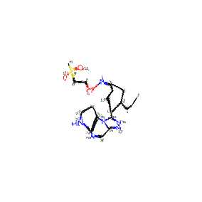 CC[C@@H]1C/C(=N/OCCS(C)(=O)=O)C[C@@H]1c1nnc2cnc3[nH]ccc3n12